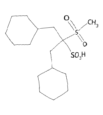 CS(=O)(=O)C(CC1CCCCC1)(CC1CCCCC1)S(=O)(=O)O